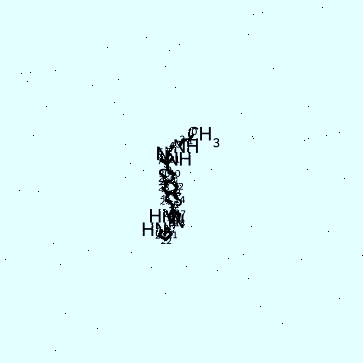 CCCNCc1ncc(-c2cc3cc4sc(-c5cnc([C@@H]6CCCN6)[nH]5)cc4cc3s2)[nH]1